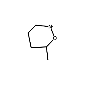 CC1CCC[N]O1